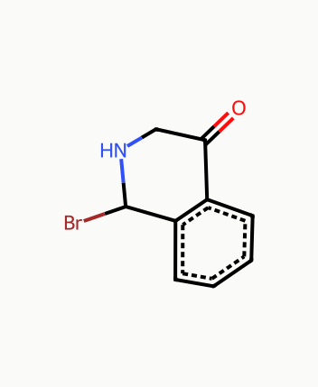 O=C1CNC(Br)c2ccccc21